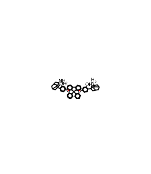 NC12CC3CC(C1)CC(c1ccc(Oc4ccccc4C4(c5ccccc5Oc5ccc(C67CC8CC(CC(N)(C8)C6)C7)c(O)c5)c5ccccc5-c5ccccc54)cc1O)(C3)C2